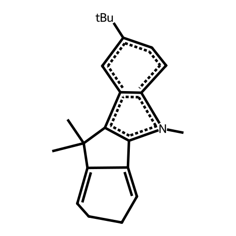 Cn1c2c(c3cc(C(C)(C)C)ccc31)C(C)(C)C1=CCCC=C12